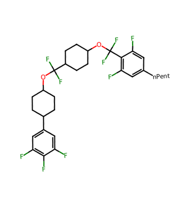 CCCCCc1cc(F)c(C(F)(F)OC2CCC(C(F)(F)OC3CCC(c4cc(F)c(F)c(F)c4)CC3)CC2)c(F)c1